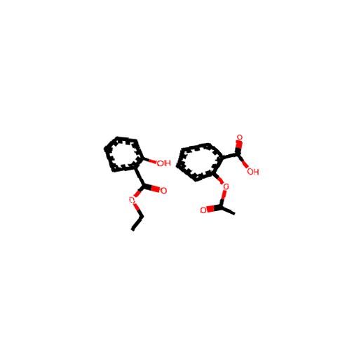 CC(=O)Oc1ccccc1C(=O)O.CCOC(=O)c1ccccc1O